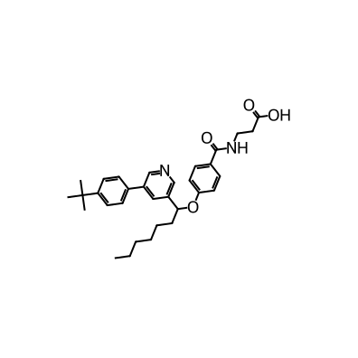 CCCCCCC(Oc1ccc(C(=O)NCCC(=O)O)cc1)c1cncc(-c2ccc(C(C)(C)C)cc2)c1